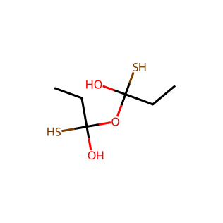 CCC(O)(S)OC(O)(S)CC